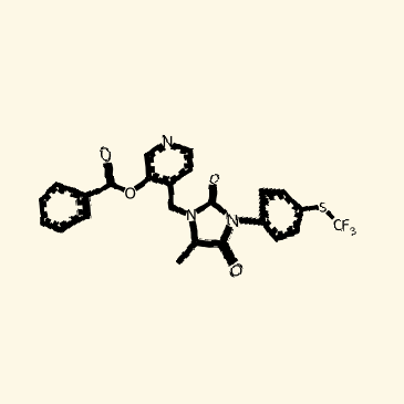 CC1C(=O)N(c2ccc(SC(F)(F)F)cc2)C(=O)N1Cc1ccncc1OC(=O)c1ccccc1